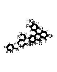 O=C(O)c1cc(NCCN(Cc2ccccn2)Cc2ccccn2)ccc1-c1c2cc(F)c(=O)cc-2oc2cc(O)c(F)cc12